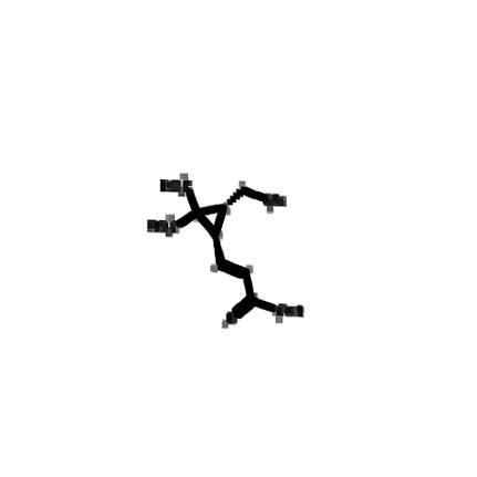 CCCCCC(=O)/C=C/[C@@H]1[C@@H](COC(C)=O)C1(C(=O)OCC)C(=O)OCC